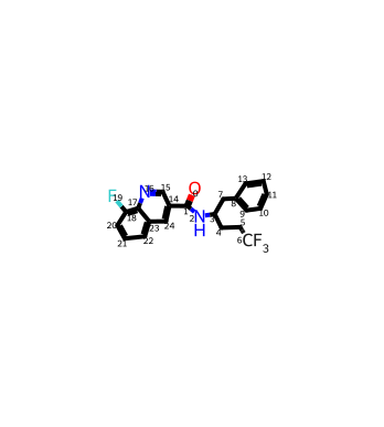 O=C(NC(CCC(F)(F)F)Cc1ccccc1)c1cnc2c(F)cccc2c1